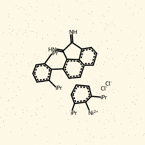 CC(C)c1cccc(C(C)C)[c]1[Ni+2].CC(C)c1cccc(C(C)C)c1-c1ccc2cccc3c2c1C(=N)C3=N.[Cl-].[Cl-]